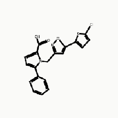 O=C(O)c1ccc(-c2ccccc2)n1Cc1cc(-c2ccc(Cl)s2)on1